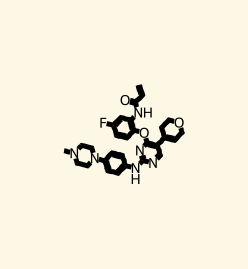 C=CC(=O)Nc1cc(F)ccc1Oc1nc(Nc2ccc(N3CCN(C)CC3)cc2)ncc1C1=CCOCC1